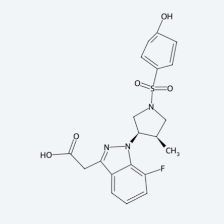 C[C@@H]1CN(S(=O)(=O)c2ccc(O)cc2)C[C@@H]1n1nc(CC(=O)O)c2cccc(F)c21